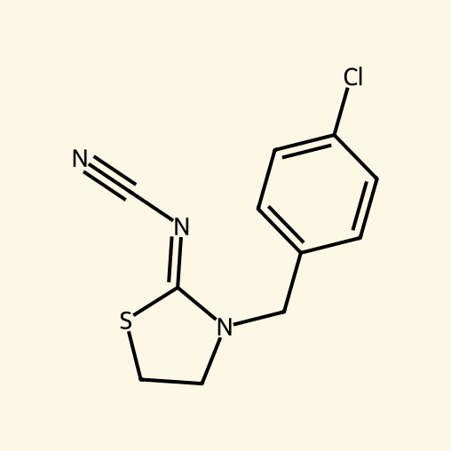 N#CN=C1SCCN1Cc1ccc(Cl)cc1